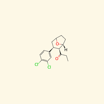 CCC(=O)[C@H]1[C@@H](c2ccc(Cl)c(Cl)c2)CC2CC[C@H]1O2